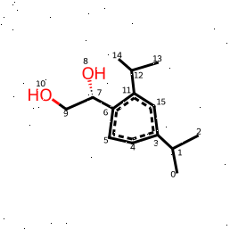 CC(C)c1ccc([C@@H](O)CO)c(C(C)C)c1